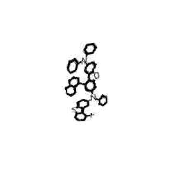 Fc1cccc2sc3ccc(N(c4ccccc4)c4cc(-c5cccc6ccccc56)c5c(c4)oc4ccc(N(c6ccccc6)c6ccccc6)cc45)cc3c12